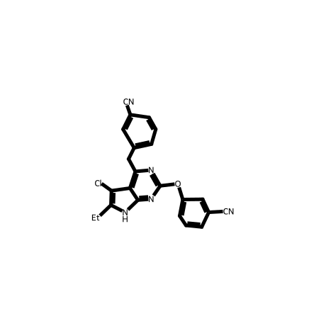 CCc1[nH]c2nc(Oc3cccc(C#N)c3)nc(Cc3cccc(C#N)c3)c2c1Cl